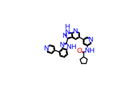 O=C(Nc1cncc(-c2cnc3[nH]nc(-c4nc5c(-c6ccncc6)cccc5[nH]4)c3c2)c1)C1CCCC1